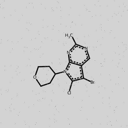 Cc1ncc2c(Br)c(Cl)n(C3CCOCC3)c2n1